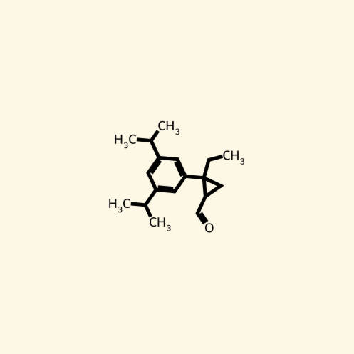 CCC1(c2cc(C(C)C)cc(C(C)C)c2)CC1C=O